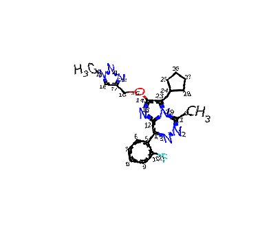 Cc1nnc(-c2ccccc2F)c2nc(OCc3cn(C)nn3)c(C3CCCC3)n12